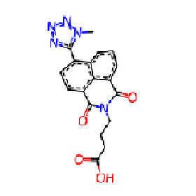 Cn1nnnc1-c1ccc2c3c(cccc13)C(=O)N(CCCC(=O)O)C2=O